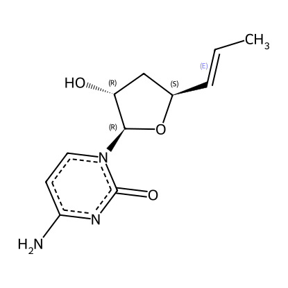 C/C=C/[C@@H]1C[C@@H](O)[C@H](n2ccc(N)nc2=O)O1